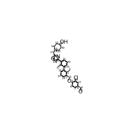 Cc1c(COc2ccc(C=O)cc2Cl)cccc1-c1cccc(-c2noc(CN3CCC(O)CC3)n2)c1C